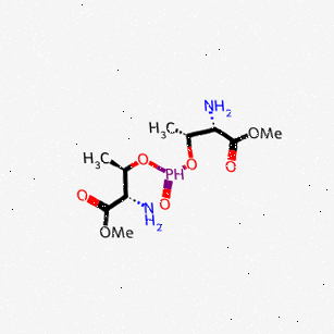 COC(=O)[C@@H](N)[C@@H](C)O[PH](=O)O[C@H](C)[C@H](N)C(=O)OC